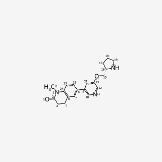 CN1C(=O)CCc2cc(-c3cncc(OC[C@@H]4CCCN4)c3)ccc21